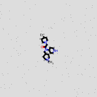 CCC1CCN(CC(=O)N(CC2CCN(C)CC2)C2CCNCC2)CC1